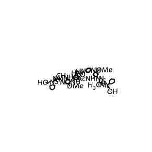 COc1cc(N=Nc2sc(N(CCO)C3CCCCC3)n[n+]2C)c(NC(C)=O)cc1Nc1ccc(NC(=O)Nc2ccc(Nc3cc(NC(C)=O)c(N=Nc4sc(N(CCO)C5CCCCC5)n[n+]4C)cc3OC)cc2)cc1